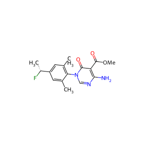 COC(=O)c1c(N)ncn(-c2c(C)cc([C@@H](C)F)cc2C)c1=O